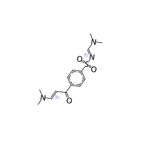 CN(C)/C=C/C(=O)c1ccc(S(=O)(=O)/N=C/N(C)C)cc1